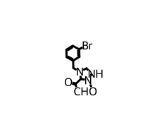 CN1NCN(Cc2cccc(Br)c2)C1C(=O)C=O